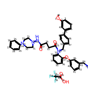 COc1cccc(-c2ccc(CN(C(=O)CCC(=O)NN3CCN(c4ccccc4)CC3)c3ccccc3Oc3cccc(CN)c3)cc2)c1.O=C(O)C(F)(F)F